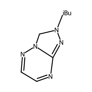 CCC(C)N1CN2N=CC=NC2=N1